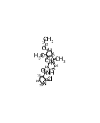 C=CCOc1ccc(C(C)N2CCC(NC(=O)c3cccnc3Cl)CC2)c(C)c1C